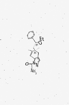 CCO[C@H](C[C@@]1(C)Cc2cnn(C(N)=O)c2C=C1C)c1ccccc1